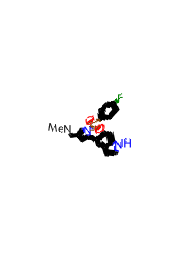 CNCc1cc(-c2ccc3[nH]ccc3c2)n(S(=O)(=O)c2ccc(F)cc2)c1